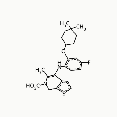 CC1=C(Nc2ccc(F)cc2OC2CCC(C)(C)CC2)c2ccsc2CN1C(=O)O